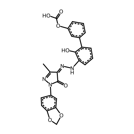 CC1=NN(c2ccc3c(c2)OCO3)C(=O)C1=NNc1cccc(-c2cccc(OC(=O)O)c2)c1O